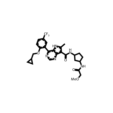 COCC(=O)NC1CCC(NC(=O)c2c(C)[nH]c3c(-c4cc(C(F)(F)F)ccc4OCC4CC4)ncnc23)C1